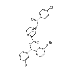 O=C(C[N+]12CCC(CC1)C(C(=O)OC(c1cccc(F)c1)c1cccc(F)c1)C2)c1ccc(Cl)cc1.[Br-]